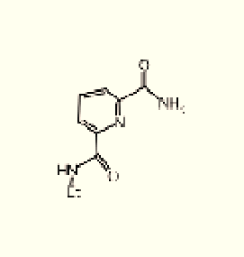 CCNC(=O)c1cccc(C(N)=O)n1